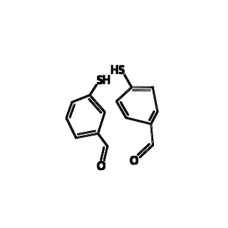 O=Cc1ccc(S)cc1.O=Cc1cccc(S)c1